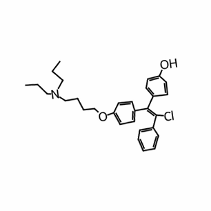 CCCN(CCC)CCCCOc1ccc(/C(=C(/Cl)c2ccccc2)c2ccc(O)cc2)cc1